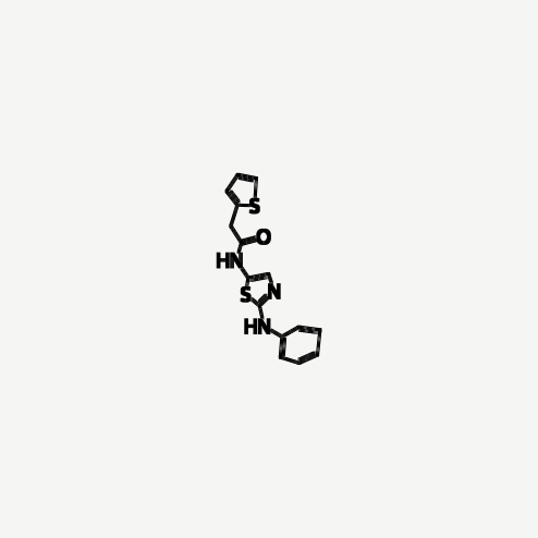 O=C(Cc1cccs1)Nc1cnc(Nc2ccccc2)s1